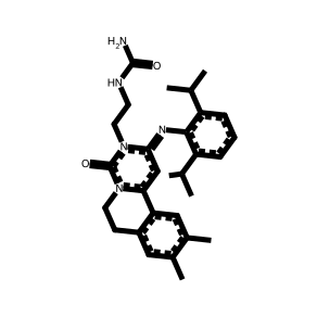 Cc1cc2c(cc1C)-c1c/c(=N\c3c(C(C)C)cccc3C(C)C)n(CCNC(N)=O)c(=O)n1CC2